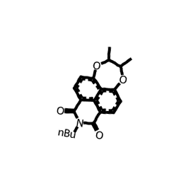 CCCCN1C(=O)c2ccc3c4c(ccc(c24)C1=O)OC(C)C(C)O3